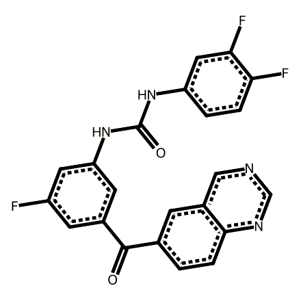 O=C(Nc1cc(F)cc(C(=O)c2ccc3ncncc3c2)c1)Nc1ccc(F)c(F)c1